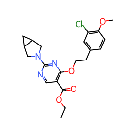 CCOC(=O)c1cnc(N2CC3CC3C2)nc1OCCc1ccc(OC)c(Cl)c1